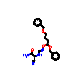 N#C[C@@H](NC=NOC(CCCOCc1ccccc1)OCc1ccccc1)C(N)=O